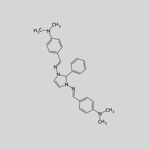 CN(C)c1ccc(C=NN2C=CN(N=Cc3ccc(N(C)C)cc3)C2c2ccccc2)cc1